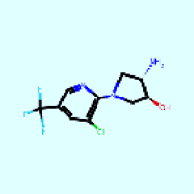 N[C@H]1CN(c2ncc(C(F)(F)F)cc2Cl)C[C@@H]1O